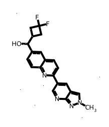 Cn1cc2cc(-c3ccc4cc(C(O)C5CC(F)(F)C5)ccc4n3)cnc2n1